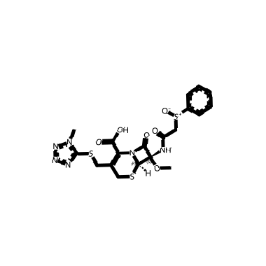 CO[C@@]1(NC(=O)C[S+]([O-])c2ccccc2)C(=O)N2C(C(=O)O)=C(CSc3nnnn3C)CS[C@@H]21